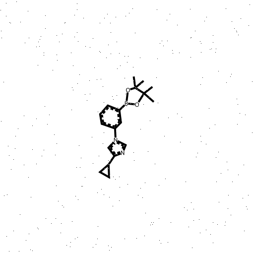 CC1(C)OB(c2cccc(-n3cnc(C4CC4)c3)c2)OC1(C)C